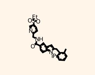 CCS(=O)(=O)c1ccc(CNC(=O)c2ccc3c(c2)cc(Cc2ccccc2C)n3C(C)C)nc1